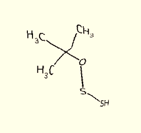 CC(C)(C)OSS